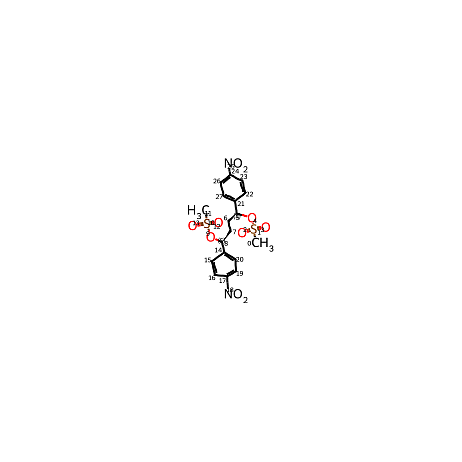 CS(=O)(=O)O[C@@H](CC[C@H](OS(C)(=O)=O)c1ccc([N+](=O)[O-])cc1)c1ccc([N+](=O)[O-])cc1